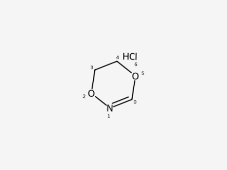 C1=NOCCO1.Cl